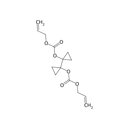 C=CCOC(=O)OC1(C2(OC(=O)OCC=C)CC2)CC1